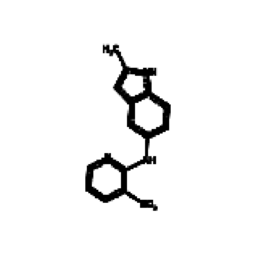 Cc1cc2cc(Nc3ncccc3[N+](=O)[O-])ccc2[nH]1